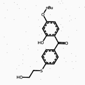 CCCCOc1ccc(C(=O)c2ccc(SCCO)cc2)c(O)c1